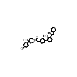 O=C(Cc1ccc(-c2cccc(-c3cc4cnccc4[nH]3)c2O)cc1)N1CCC(O)(c2ccc(Cl)cc2)CC1